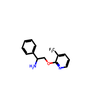 NC(COc1ncccc1C(F)(F)F)c1ccccc1